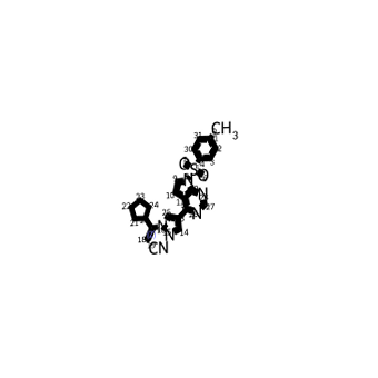 Cc1ccc(S(=O)(=O)n2ccc3c(-c4cnn(/C(=C\C#N)C5CCCC5)c4)ncnc32)cc1